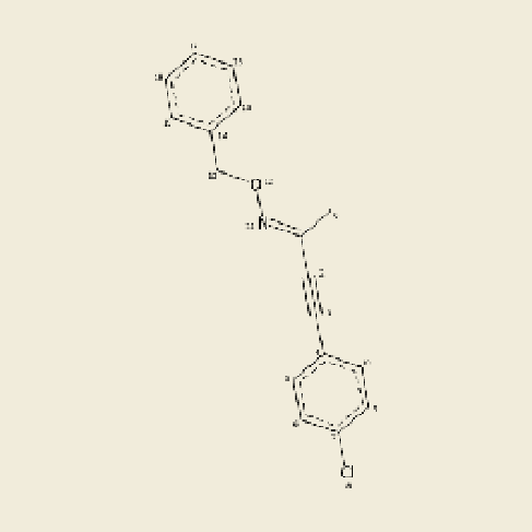 CC(C#Cc1ccc(Cl)cc1)=NOCc1ccccc1